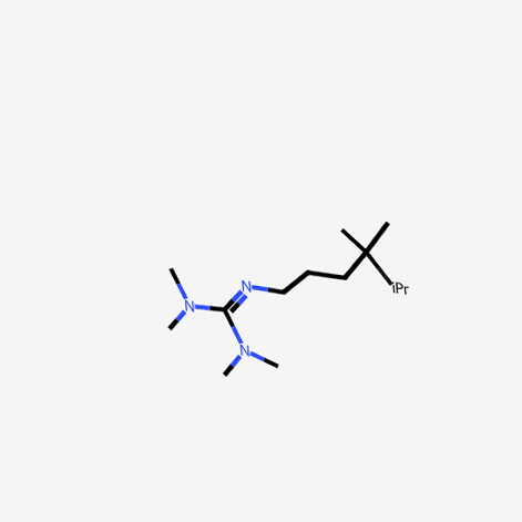 CC(C)C(C)(C)CCCN=C(N(C)C)N(C)C